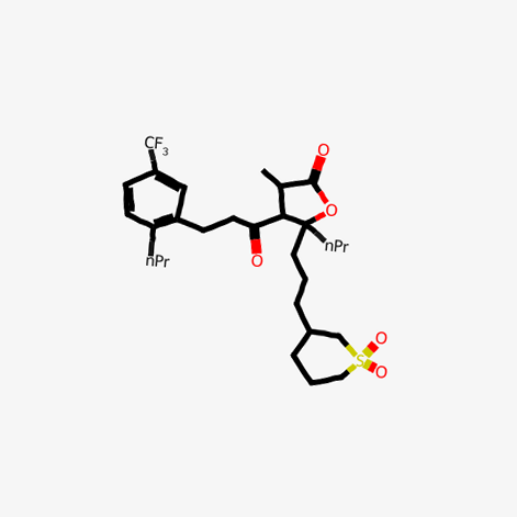 CCCc1ccc(C(F)(F)F)cc1CCC(=O)C1C(C)C(=O)OC1(CCC)CCCC1CCCS(=O)(=O)C1